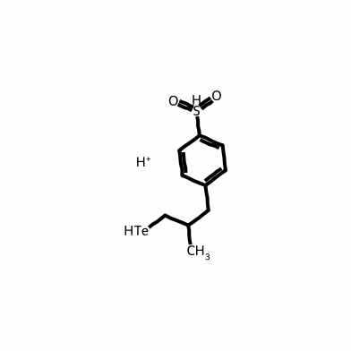 CC(C[TeH])Cc1ccc([SH](=O)=O)cc1.[H+]